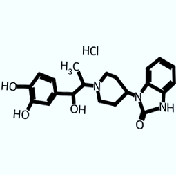 CC(C(O)c1ccc(O)c(O)c1)N1CCC(n2c(=O)[nH]c3ccccc32)CC1.Cl